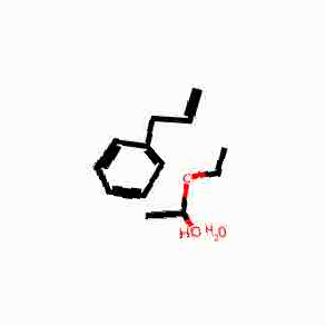 C=CCc1ccccc1.CCOC(C)O.O